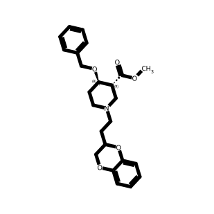 COC(=O)[C@@H]1CN(CCC2COc3ccccc3O2)CC[C@H]1OCc1ccccc1